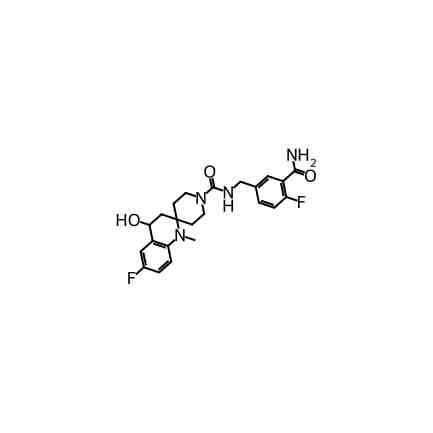 CN1c2ccc(F)cc2C(O)CC12CCN(C(=O)NCc1ccc(F)c(C(N)=O)c1)CC2